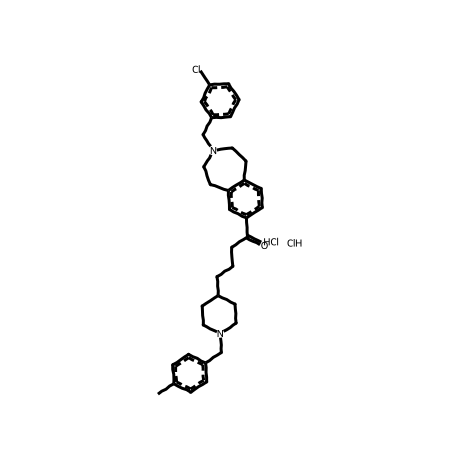 Cc1ccc(CN2CCC(CCCC(=O)c3ccc4c(c3)CCN(Cc3cccc(Cl)c3)CC4)CC2)cc1.Cl.Cl